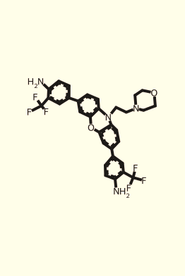 Nc1ccc(-c2ccc3c(c2)Oc2cc(-c4ccc(N)c(C(F)(F)F)c4)ccc2N3CCN2CCOCC2)cc1C(F)(F)F